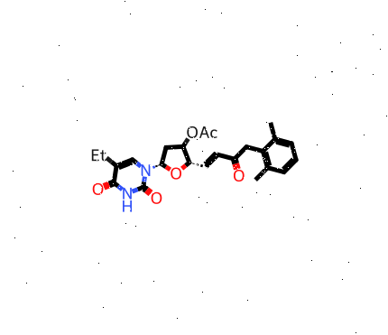 CCc1cn([C@@H]2CC(OC(C)=O)[C@H](/C=C/C(=O)Cc3c(C)cccc3C)O2)c(=O)[nH]c1=O